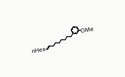 CCCCCCC=CCCCCCCCc1cccc(OC)c1